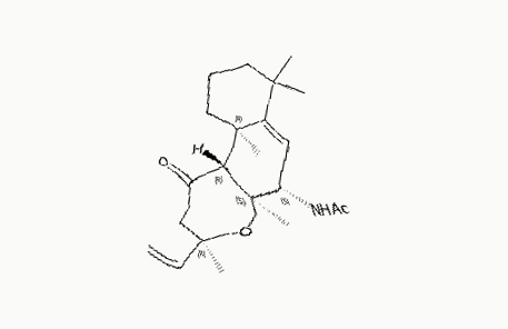 C=C[C@@]1(C)CC(=O)[C@H]2[C@](C)(O1)[C@@H](NC(C)=O)C=C1C(C)(C)CCC[C@@]12C